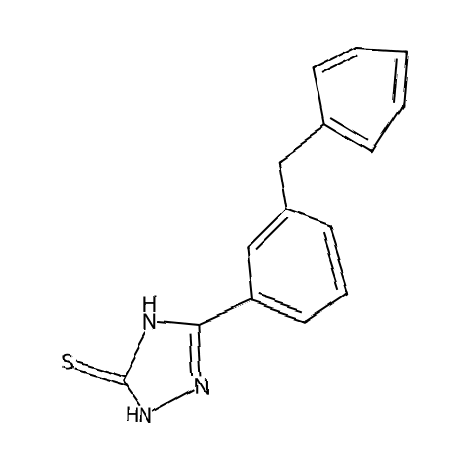 S=c1[nH]nc(-c2cccc(Cc3ccccc3)c2)[nH]1